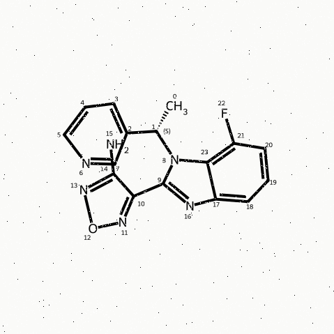 C[C@@H](c1cccnc1)n1c(-c2nonc2N)nc2cccc(F)c21